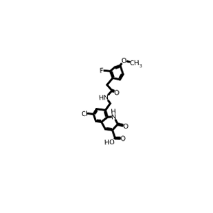 COc1ccc(CC(=O)NCc2cc(Cl)cc3cc(C(=O)O)c(=O)[nH]c23)c(F)c1